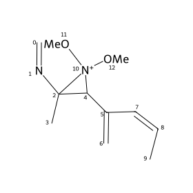 C=NC1(C)C(C(=C)/C=C\C)[N+]1(OC)OC